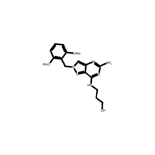 COc1cccc(OC)c1Cn1cc2nc(N)nc(NCCCO)c2n1